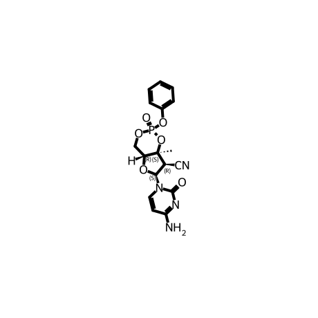 C[C@@]12OP(=O)(Oc3ccccc3)OC[C@H]1O[C@H](n1ccc(N)nc1=O)[C@@H]2C#N